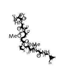 CO[C@H](CC(=O)N1CCC[C@H]1[C@H](OC)[C@@H](C)C(=O)NCC(=O)NCC[C@@H]1C[C@H]1C)C[C@H](C)[C@@H](C)N(C)C(=O)CNC(=O)[C@H](C(C)C)N(C)C